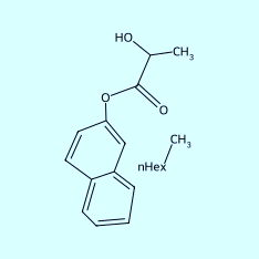 CC(O)C(=O)Oc1ccc2ccccc2c1.CCCCCCC